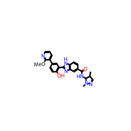 COc1ncccc1-c1ccc(O)c(-c2nc3cc(C(=O)NC4C(C)C=NN4C)ccc3[nH]2)c1